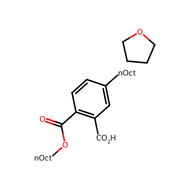 C1CCOC1.CCCCCCCCOC(=O)c1ccc(CCCCCCCC)cc1C(=O)O